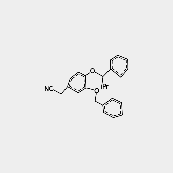 CC(C)C(Oc1ccc(CC#N)cc1OCc1ccccc1)c1ccccc1